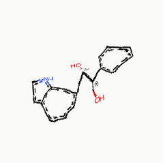 O[C@H](c1ccccc1)[C@@H](O)c1cccc2cc[nH]c12